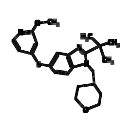 COc1cc(Sc2ccc3c(c2)nc(C(C)(C)C)n3CC2CCOCC2)ccn1